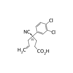 C=CC[C@@](C#N)(CCC(=O)O)c1ccc(Cl)c(Cl)c1